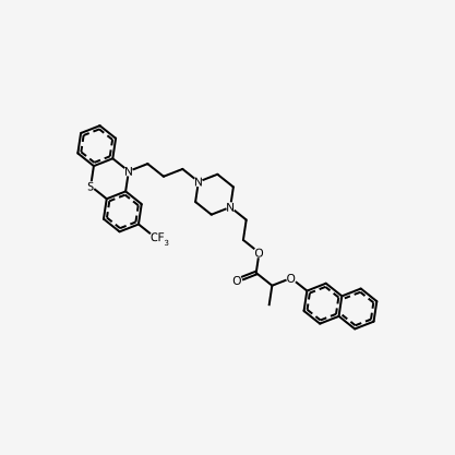 CC(Oc1ccc2ccccc2c1)C(=O)OCCN1CCN(CCCN2c3ccccc3Sc3ccc(C(F)(F)F)cc32)CC1